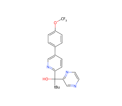 CC(C)(C)C(O)(c1ccc(-c2ccc(OC(F)(F)F)cc2)cn1)c1cnccn1